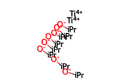 CC(C)[O-].CC(C)[O-].CC(C)[O-].CC(C)[O-].CC(C)[O-].CC(C)[O-].CC(C)[O-].CC(C)[O-].[Ti+4].[Ti+4]